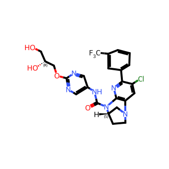 O=C(Nc1cnc(OC[C@H](O)CO)nc1)N1c2nc(-c3cccc(C(F)(F)F)c3)c(Cl)cc2N2CC[C@H]1C2